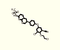 CS(=O)(=O)Nc1ccc2cc(-c3ccc(Oc4cc(Cl)c(OCCCl)c(C#N)c4)cc3)cnc2n1